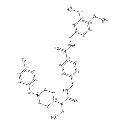 CCC(C(=O)NCc1ccc(C(=O)NCc2ccc(OC)c(OC)c2)cc1)C1CCN(Cc2ccc(Br)cc2)CC1